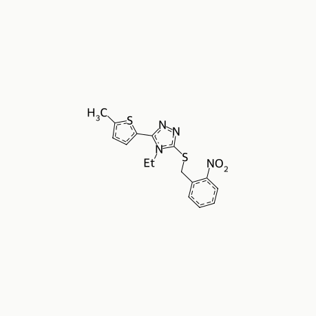 CCn1c(SCc2ccccc2[N+](=O)[O-])nnc1-c1ccc(C)s1